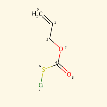 C=CCOC(=O)SCl